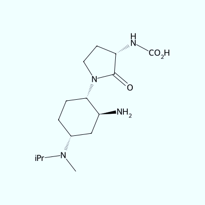 CC(C)N(C)[C@@H]1CC[C@H](N2CC[C@H](NC(=O)O)C2=O)[C@@H](N)C1